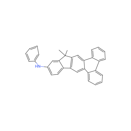 CC1(C)c2cc(Nc3ccccc3)ccc2-c2cc3c4ccccc4c4ccccc4c3cc21